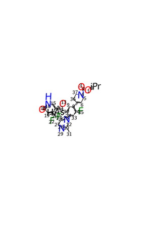 CC(C)OC(=O)N1CC=C(c2cc([AsH]C(=O)c3c[nH]c(=O)cc3C(F)F)c(N3CCN(C)[C@H](C)C3)cc2F)CC1